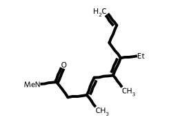 C=CC/C(CC)=C(C)\C=C(/C)CC(=O)NC